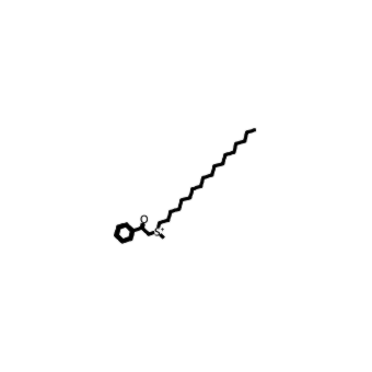 CCCCCCCCCCCCCCCCCC[S+](C)CC(=O)c1ccccc1